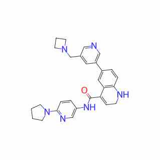 O=C(Nc1ccc(N2CCCC2)nc1)C1=CCNc2ccc(-c3cncc(CN4CCC4)c3)cc21